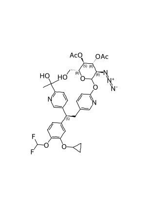 CC(=O)O[C@H]1[C@H](OC(C)=O)[C@@H](N=[N+]=[N-])C(Oc2ccc(C[C@H](c3ccc(C(C)(C)O)nc3)c3ccc(OC(F)F)c(OC4CC4)c3)cn2)O[C@@H]1CO